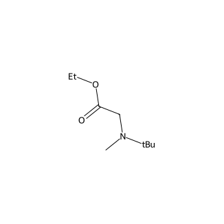 CCOC(=O)CN(C)C(C)(C)C